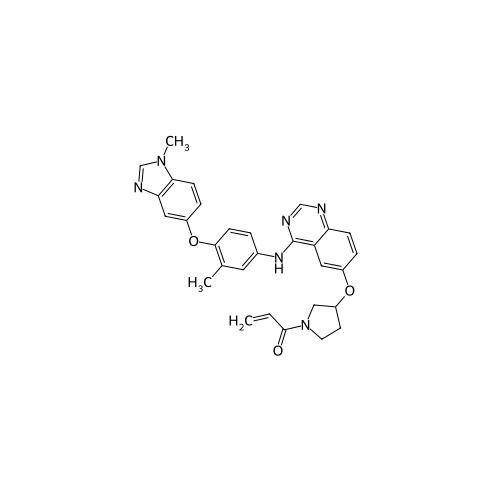 C=CC(=O)N1CCC(Oc2ccc3ncnc(Nc4ccc(Oc5ccc6c(c5)ncn6C)c(C)c4)c3c2)C1